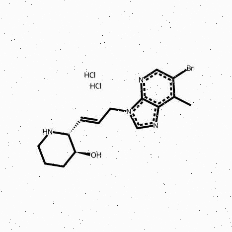 Cc1c(Br)cnc2c1ncn2C/C=C/[C@H]1NCCC[C@@H]1O.Cl.Cl